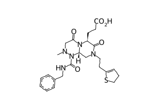 CN1CC(=O)N2[C@@H](CCC(=O)O)C(=O)N(CCC3=CCCS3)C[C@@H]2N1C(=O)NCc1ccccc1